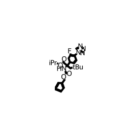 CC(C)OC(=O)C(CC(C)(C)C)(NC(=O)OCc1ccccc1)C1C=CC(n2cnnn2)=C(F)C1